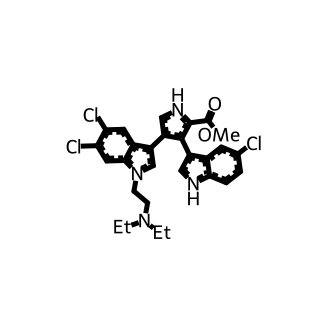 CCN(CC)CCn1cc(-c2c[nH]c(C(=O)OC)c2-c2c[nH]c3ccc(Cl)cc23)c2cc(Cl)c(Cl)cc21